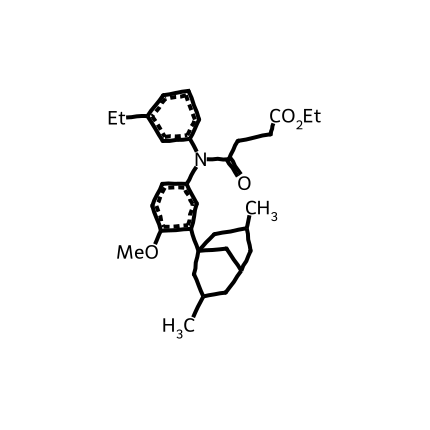 CCOC(=O)CCC(=O)N(c1cccc(CC)c1)c1ccc(OC)c(C23CC(C)CC(CC(C)C2)C3)c1